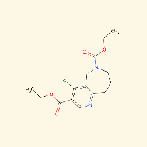 CCOC(=O)c1cnc2c(c1Cl)CN(C(=O)OCC)CCC2